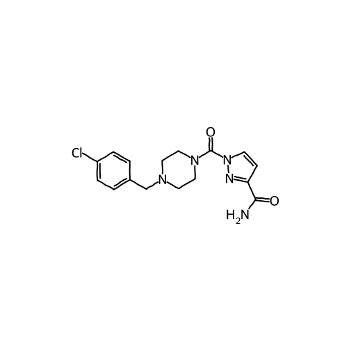 NC(=O)c1ccn(C(=O)N2CCN(Cc3ccc(Cl)cc3)CC2)n1